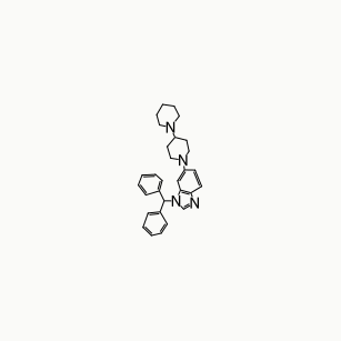 c1ccc(C(c2ccccc2)n2cnc3ccc(N4CCC(N5CCCCC5)CC4)cc32)cc1